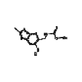 CCOc1cc2nc(C)sc2cc1CNC(=O)OC(C)(C)C